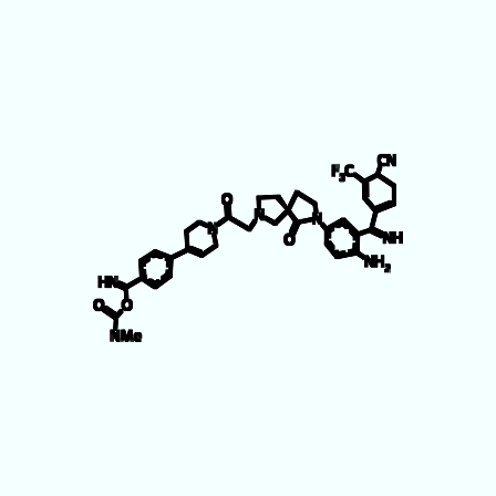 CNC(=O)OC(=N)c1ccc(C2=CCN(C(=O)CN3CC[C@]4(CCN(c5ccc(N)c(C(=N)C6=CCC(C#N)C(C(F)(F)F)=C6)c5)C4=O)C3)CC2)cc1